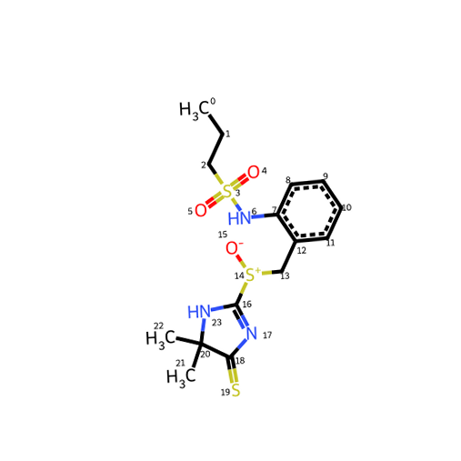 CCCS(=O)(=O)Nc1ccccc1C[S+]([O-])C1=NC(=S)C(C)(C)N1